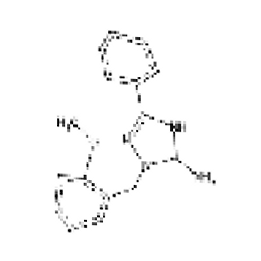 COc1ccccc1CN1N=C(c2ccccc2)NC1N